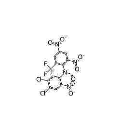 O=CN(c1cc(Cl)c(Cl)cc1[N+](=O)[O-])c1c([N+](=O)[O-])cc([N+](=O)[O-])cc1C(F)(F)F